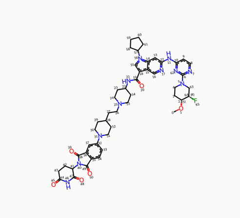 CO[C@H]1CCN(c2nccc(Nc3cc4c(cn3)c(C(=O)NC3CCN(CCC5CCN(c6ccc7c(c6)C(=O)N(C6CCC(=O)NC6=O)C7=O)CC5)CC3)cn4C3CCCC3)n2)C[C@H]1F